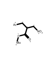 CC(=O)CC(C[N+](=O)[O-])C(=O)OC(C)(C)C